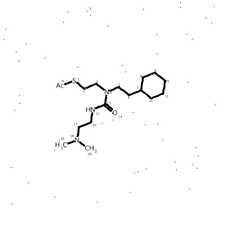 CC(=O)SCCN(CCC1CCCCC1)C(=O)NCCN(C)C